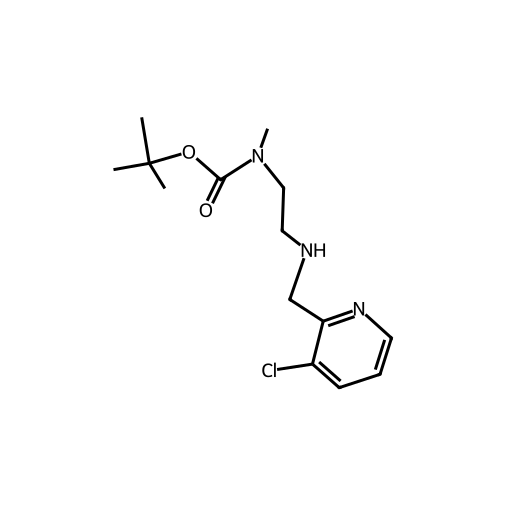 CN(CCNCc1ncccc1Cl)C(=O)OC(C)(C)C